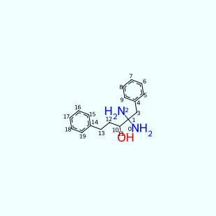 NC(N)(Cc1ccccc1)C(O)CCc1ccccc1